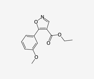 CCOC(=O)c1cnoc1-c1cccc(OC)c1